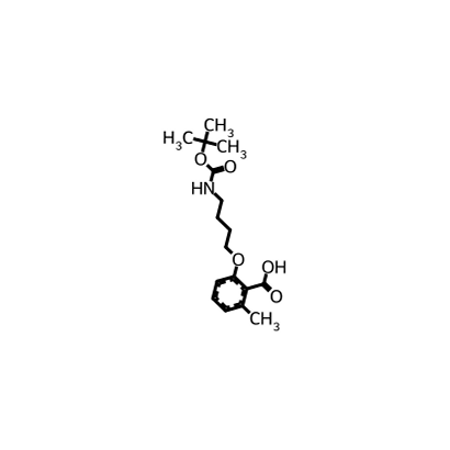 Cc1cccc(OCCCCNC(=O)OC(C)(C)C)c1C(=O)O